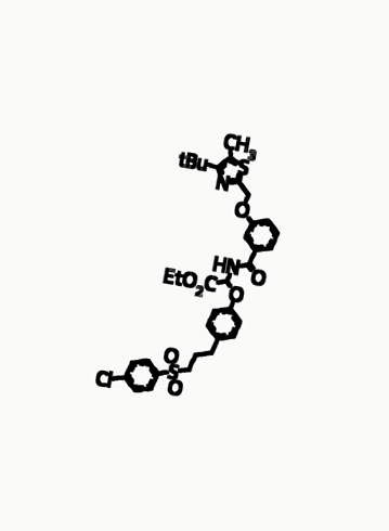 CCOC(=O)C(NC(=O)c1cccc(OCc2nc(C(C)(C)C)c(C)s2)c1)Oc1ccc(CCCS(=O)(=O)c2ccc(Cl)cc2)cc1